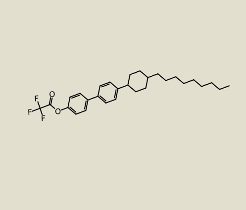 CCCCCCCCCC1CCC(c2ccc(-c3ccc(OC(=O)C(F)(F)F)cc3)cc2)CC1